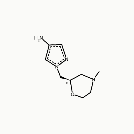 CN1CCO[C@@H](Cn2cc(N)cn2)C1